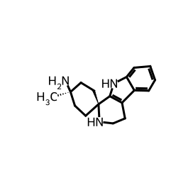 C[C@]1(N)CC[C@]2(CC1)NCCc1c3ccccc3[nH]c12